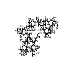 CON1C(C)(C)CC(N(C)c2nc(N(C)C3CC(C)(C)N(OC)C(C)(C)C3)nc(N(CCCCCCN(c3nc(N(C)C4CC(C)(C)N(OC)C(C)(C)C4)nc(N(C)C4CC(C)(C)N(OC)C(C)(C)C4)n3)C3CC(C)(C)NC(C)(C)C3)C3CC(C)(C)NC(C)(C)C3)n2)CC1(C)C